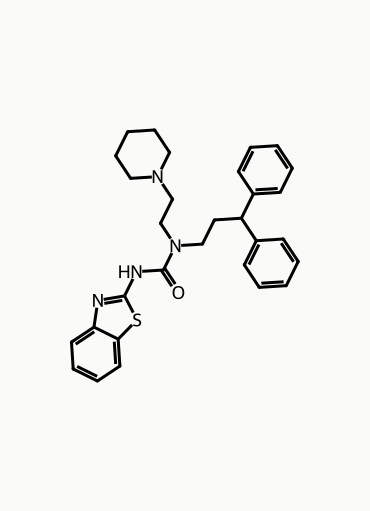 O=C(Nc1nc2ccccc2s1)N(CCC(c1ccccc1)c1ccccc1)CCN1CCCCC1